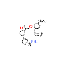 COc1ccc(CC(=O)O)c(OCc2c(C)oc3ccc(-c4cccc([C@H](C)N)c4)cc23)c1